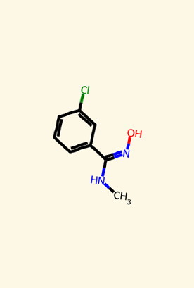 CN/C(=N/O)c1cccc(Cl)c1